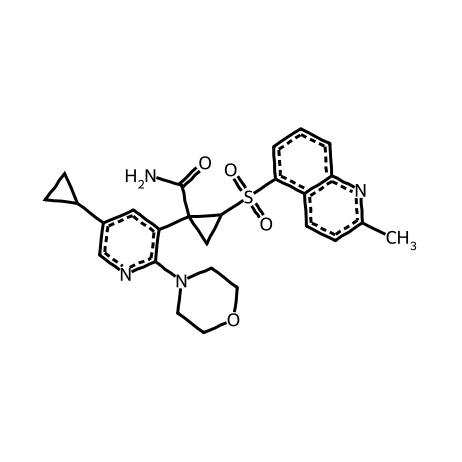 Cc1ccc2c(S(=O)(=O)C3CC3(C(N)=O)c3cc(C4CC4)cnc3N3CCOCC3)cccc2n1